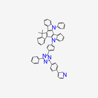 CC1(C)c2ccccc2-c2c1c1c3ccccc3n(-c3ccccc3)c1c1c3ccccc3n(-c3ccc(-c4nc(-c5ccccc5)nc(-c5ccc(-c6cccnc6)cc5)n4)cc3)c21